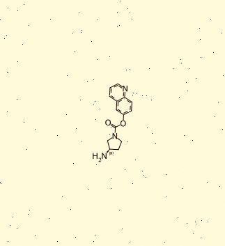 N[C@@H]1CCN(C(=O)Oc2ccc3ncccc3c2)C1